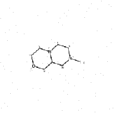 IN1CCN2CCOCC2C1